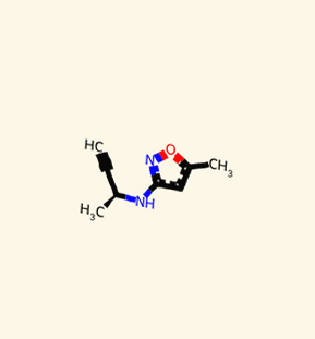 C#C[C@H](C)Nc1cc(C)on1